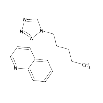 CCCCCn1cnnn1.c1ccc2ncccc2c1